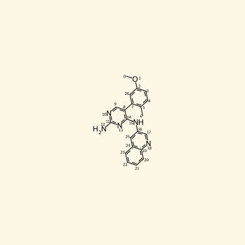 COc1ccc(C)c(-c2cnc(N)nc2Nc2cnc3ccccc3c2)c1